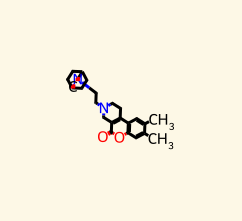 Cc1cc2oc(=O)c3c(c2cc1C)CCN(CCN1CC2CCC(CC2)C1)C3